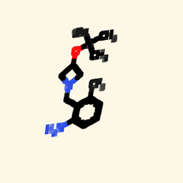 CC(C)(C)[Si](C)(C)OC1CN(Cc2c(N)cccc2C(F)(F)F)C1